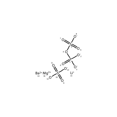 O=P([O-])([O-])OS(=O)(=O)[O-].O=S(=O)([O-])[O-].[Ba+2].[Li+].[Mg+2]